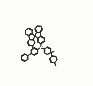 CC1C=CC(C2(C)C=CC(N(c3ccc(-c4ccccc4)cc3)c3ccc4c(c3)C3(C5=C(CCC=C5)C5=C3CC(C)C=C5)c3ccccc3-4)=CC2)=CC1